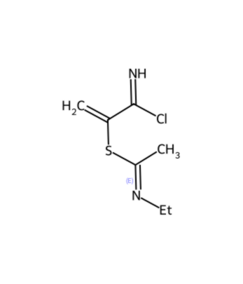 C=C(S/C(C)=N/CC)C(=N)Cl